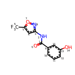 O=C(Nc1cc(C(F)(F)F)on1)c1cccc(O)c1